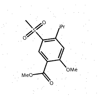 COC(=O)c1cc(S(C)(=O)=O)c(C(C)C)cc1OC